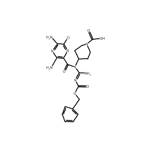 NC(=NC(=O)OCc1ccccc1)N(C(=O)c1nc(Cl)c(N)nc1N)C1CCN(C(=O)O)CC1